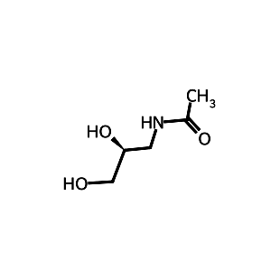 CC(=O)NC[C@H](O)CO